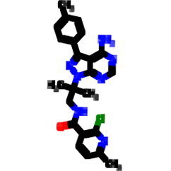 Cc1ccc(-c2nn(C(C)(C)CNC(=O)c3ccc(C)nc3Cl)c3ncnc(N)c23)cc1